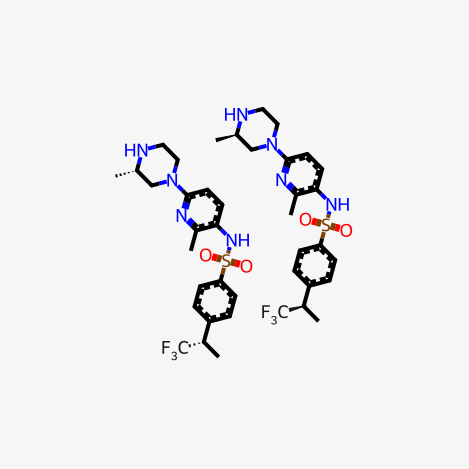 Cc1nc(N2CCN[C@@H](C)C2)ccc1NS(=O)(=O)c1ccc([C@H](C)C(F)(F)F)cc1.Cc1nc(N2CCN[C@H](C)C2)ccc1NS(=O)(=O)c1ccc([C@@H](C)C(F)(F)F)cc1